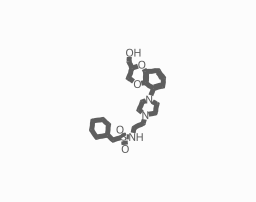 O=S(=O)(CC1CCCCC1)NCCN1CCN(c2cccc3c2OCC(CO)O3)CC1